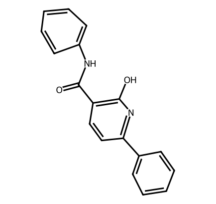 O=C(Nc1ccccc1)c1ccc(-c2ccccc2)nc1O